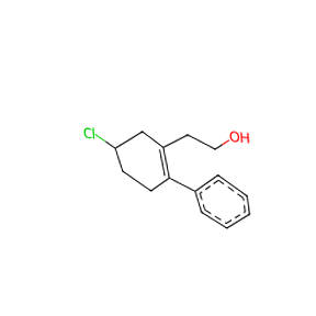 OCCC1=C(c2ccccc2)CCC(Cl)C1